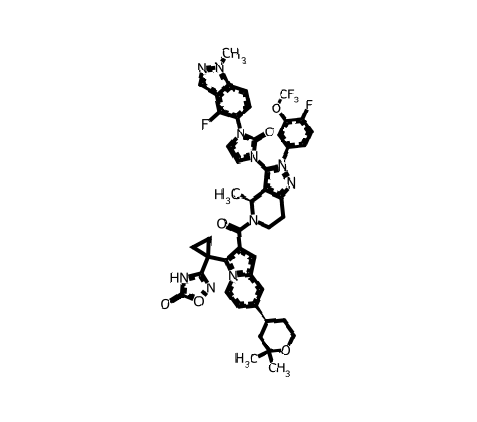 C[C@H]1c2c(nn(-c3ccc(F)c(OC(F)(F)F)c3)c2-n2ccn(-c3ccc4c(cnn4C)c3F)c2=O)CCN1C(=O)c1cc2cc([C@H]3CCOC(C)(C)C3)ccn2c1C1(c2noc(=O)[nH]2)CC1